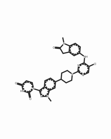 CN1C(=O)Cc2cc(Nc3nc(N4CCC(c5ccc6c(-n7ccc(=O)[nH]c7=O)nn(C)c6c5)CC4)ncc3Cl)ccc21